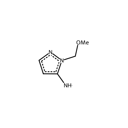 COCn1nccc1[NH]